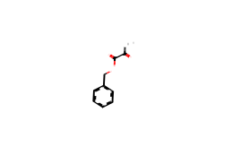 CCCCC(=O)C(=O)OCc1ccccc1